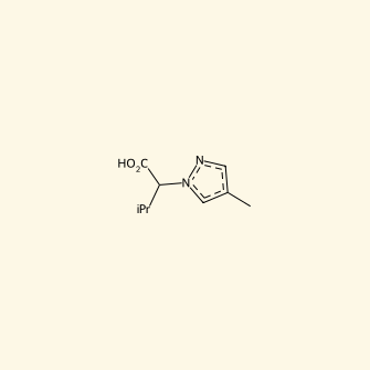 Cc1cnn(C(C(=O)O)C(C)C)c1